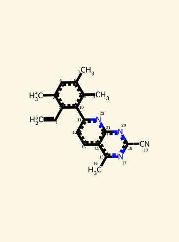 C=Cc1c(C)cc(C)c(C)c1-c1ccc2c(C)nc(C#N)nc2n1